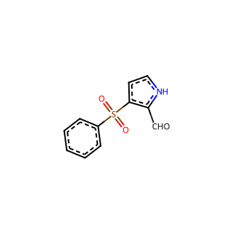 O=Cc1[nH]ccc1S(=O)(=O)c1ccccc1